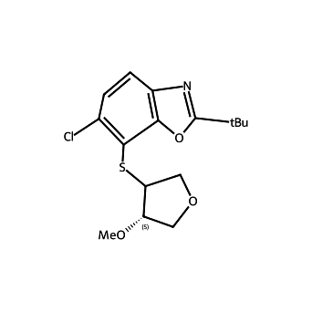 CO[C@H]1COCC1Sc1c(Cl)ccc2nc(C(C)(C)C)oc12